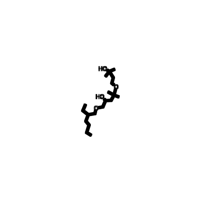 CCCCC(CC)COCC(O)CC(C)(C)OCCC(C)(C)O